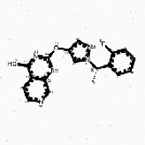 C[C@@H](c1ccccc1F)n1cc(Oc2nc(O)c3ccncc3n2)cn1